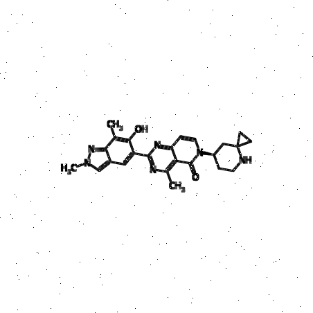 Cc1c(O)c(-c2nc(C)c3c(=O)n([C@@H]4CCNC5(CC5)C4)ccc3n2)cc2cn(C)nc12